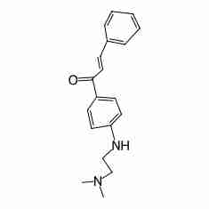 CN(C)CCNc1ccc(C(=O)/C=C/c2ccccc2)cc1